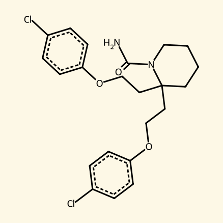 NC(=O)N1CCCCC1(CCOc1ccc(Cl)cc1)CCOc1ccc(Cl)cc1